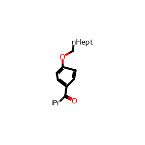 CCCCCCCCOc1ccc(C(=O)C(C)C)cc1